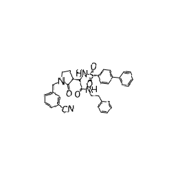 N#Cc1cccc(CN2CC[C@@H](C(NS(=O)(=O)c3ccc(-c4ccccc4)cc3)C(=O)NCCc3ccccc3)C2=O)c1